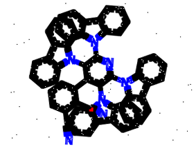 N#Cc1cccc(-c2c(-n3c4ccccc4c4ccccc43)c(-n3c4ccccc4c4ccccc43)nc(-n3c4ccccc4c4ccccc43)c2-n2c3ccccc3c3ccccc32)c1C#N